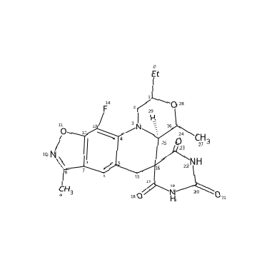 CCC1CN2c3c(cc4c(C)noc4c3F)CC3(C(=O)NC(=O)NC3=O)[C@@H]2C(C)O1